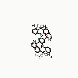 CC1(C)c2ccccc2N(c2cc(-c3ncccn3)c(N3c4ccccc4C(C)(C)c4ccccc43)cc2-c2ncccn2)c2ccccc21